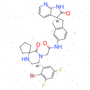 O=C(CN1C(=O)C2(CCCC2)NC[C@H]1c1cc(F)cc(F)c1Br)Nc1ccc2c(c1)C[C@@]1(C2)C(=O)Nc2ncccc21